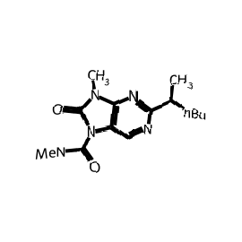 CCCCC(C)c1ncc2c(n1)n(C)c(=O)n2C(=O)NC